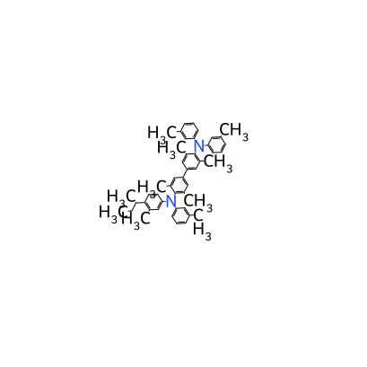 CCC(C)c1ccc(N(c2cccc(C)c2)c2c(C)cc(-c3cc(C)c(N(c4cccc(C)c4)c4cccc(C)c4)c(C)c3)cc2C)cc1C